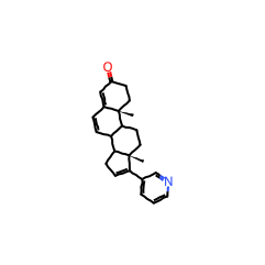 C[C@]12CCC(=O)C=C1C=CC1C2CC[C@]2(C)C(c3cccnc3)=CCC12